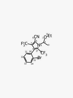 CCOC(C)n1c(C#N)c(C(F)(F)F)c(-c2ccccc2Br)c1C(F)(F)F